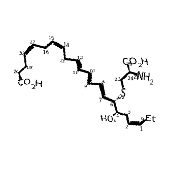 CC/C=C\C[C@@H](O)[C@H](C=CC=CC=CC/C=C\C/C=C\CCC(=O)O)SC[C@H](N)C(=O)O